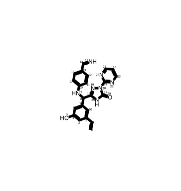 C=Cc1cc(O)cc(C(Nc2ccc(C=N)cc2)c2nn(-c3ncccn3)c(=O)[nH]2)c1